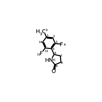 Cc1cc(F)c(C2CCC(=O)N2)c(F)c1